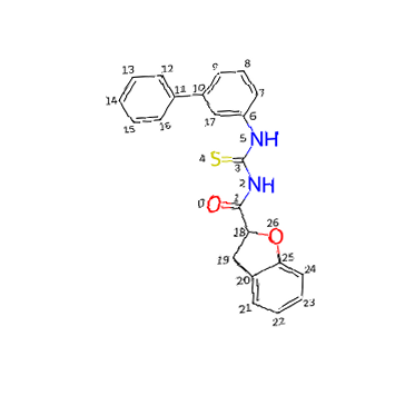 O=C(NC(=S)Nc1cccc(-c2ccccc2)c1)C1Cc2ccccc2O1